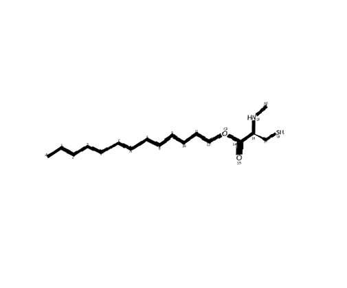 CCCCCCCCCCCCCOC(=O)[C@H](CS)NC